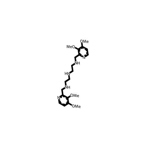 COc1ccnc(CNCCNCCNCc2nccc(OC)c2OC)c1OC